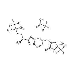 CC(C)(CC[C@H](N)c1cn2ncc(CN3C[C@@](C)(C(F)(F)F)NC3=O)cc2n1)C(F)(F)F.O=C(O)C(F)(F)F